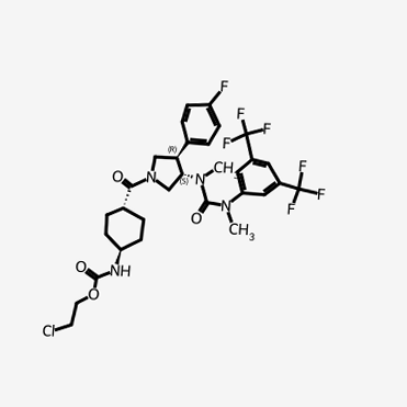 CN(C(=O)N(C)[C@@H]1CN(C(=O)[C@H]2CC[C@H](NC(=O)OCCCl)CC2)C[C@H]1c1ccc(F)cc1)c1cc(C(F)(F)F)cc(C(F)(F)F)c1